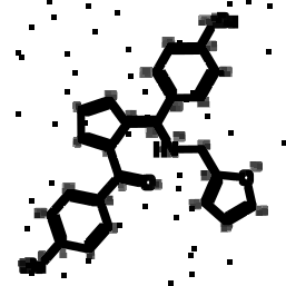 CC(C)(C)c1ccc(C(=O)C2=CC=C/C2=C(/NCc2ccco2)c2ccc(C(C)(C)C)cc2)cc1